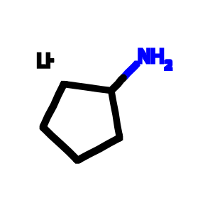 NC1CCCC1.[Li]